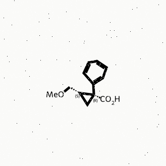 COC[C@H]1C[C@]1(C(=O)O)c1ccccc1